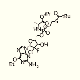 CCOc1nc(N)nc2c1ncn2[C@@H]1O[C@H](COP(=O)(N[C@H](C)C(=O)OC(C)C)OCCSC(=O)C(C)(C)C)[C@@H](O)[C@]1(F)Cl